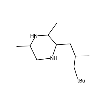 CC(CC1NCC(C)NC1C)CC(C)(C)C